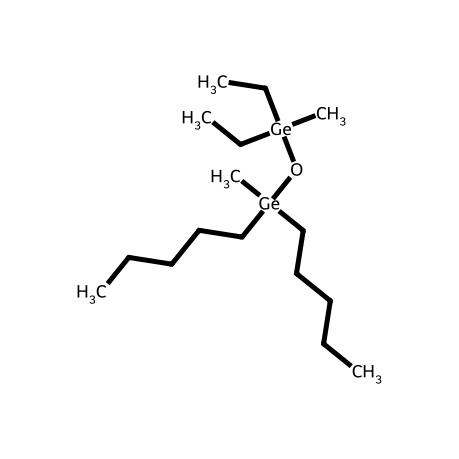 CCCC[CH2][Ge]([CH3])([CH2]CCCC)[O][Ge]([CH3])([CH2]C)[CH2]C